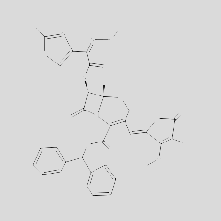 CO/N=C(\C(=O)N[C@@H]1C(=O)N2C(C(=O)OC(c3ccccc3)c3ccccc3)=C(/C=C3\OC(=O)C(C)=C3OC)CS[C@@H]12)c1csc(N)n1